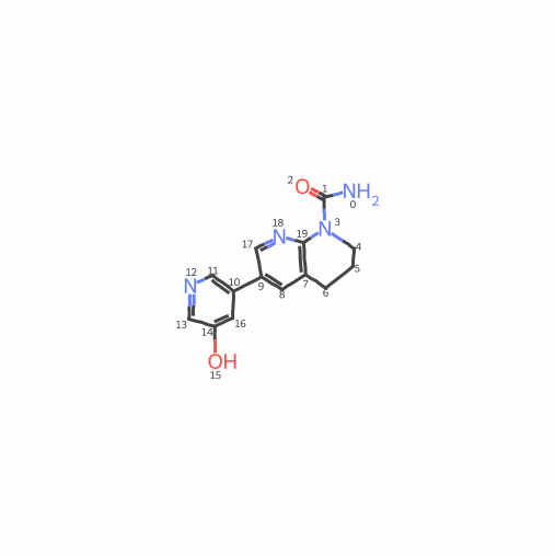 NC(=O)N1CCCc2cc(-c3cncc(O)c3)cnc21